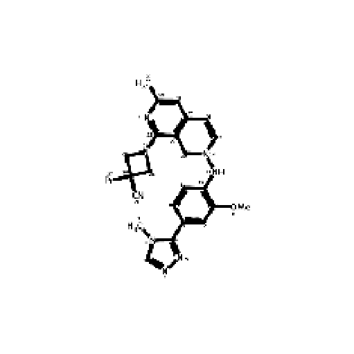 COc1cc(-c2nncn2C)ccc1NN1C=Cc2cc(C)nc(N3CC(C#N)(C(C)C)C3)c2C1